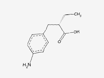 CC[C@@H](Cc1ccc(N)cc1)C(=O)O